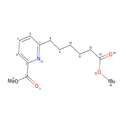 COC(=O)c1cccc(CCCCCC(=O)OC(C)(C)C)n1